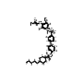 CCCCCC1CCC(C(F)(F)Oc2ccc(-c3ccc(C(F)(F)Oc4cc(F)c(OC=C(F)F)c(F)c4)cc3)cc2)CC1